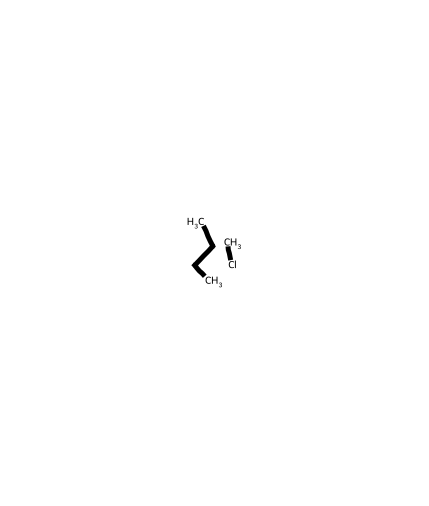 CCCC.CCl